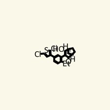 CCc1ccc(-c2cc(Cl)sc2Cl)cc1C1=C(O)[C@H]2CC[C@H](C2)C1=O